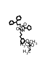 CCOC(=O)C(C)(C)Oc1cccc(CCCn2nc(C3CCCC3)c(=O)n(CCC(c3ccccc3)c3ccccc3)c2=O)c1